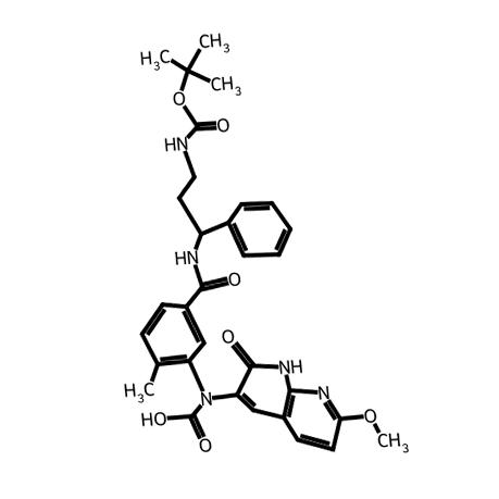 COc1ccc2cc(N(C(=O)O)c3cc(C(=O)NC(CCNC(=O)OC(C)(C)C)c4ccccc4)ccc3C)c(=O)[nH]c2n1